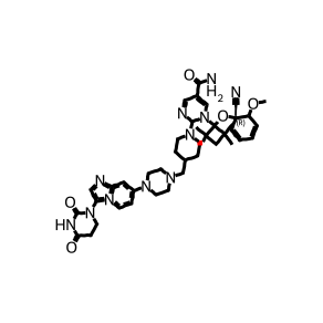 COC1C=CC=C[C@]1(C#N)OC1(N2C=C(C(N)=O)C=NC2N2CCC(CN3CCN(c4ccn5c(N6CCC(=O)NC6=O)cnc5c4)CC3)CC2)C(C)(C)CC1(C)C